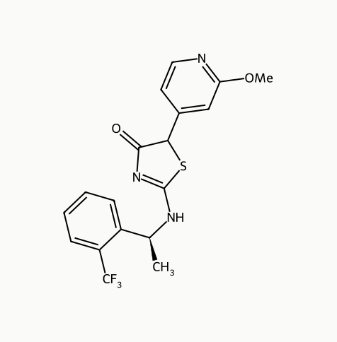 COc1cc(C2SC(N[C@@H](C)c3ccccc3C(F)(F)F)=NC2=O)ccn1